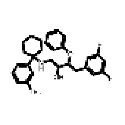 CC(C)(C)c1cccc(C2(NCC(O)C(Cc3cc(F)cc(F)c3)Oc3ccccc3)CCCCC2)c1